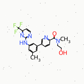 Cc1cc(Nc2nccc(C(F)(F)F)n2)cc(-c2ccc(C(=O)N(C)CCO)nc2)c1